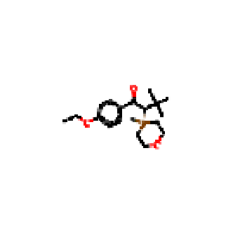 CCOc1ccc(C(=O)C(C(C)(C)C)S2(C)CCOCC2)cc1